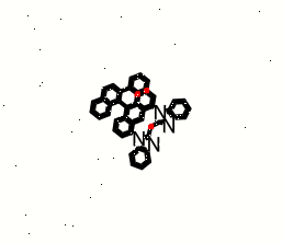 Cc1nc2ccccc2n1-c1cccc2c(-c3c(-c4ccccc4)ccc4ccccc34)c3cccc(-n4c(C)nc5ccccc54)c3cc12